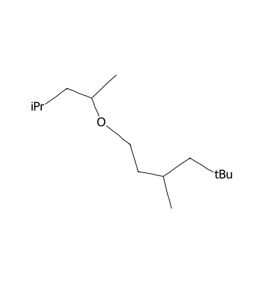 CC(C)CC(C)OCCC(C)CC(C)(C)C